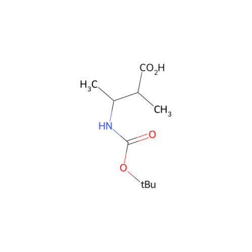 CC(NC(=O)OC(C)(C)C)C(C)C(=O)O